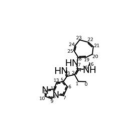 CC/C(C(=N)c1ccn2ccnc2c1)=C(\NC)NC1=C/CC=CC/C=C\1